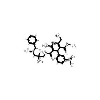 CCC1=C(C(=O)OC)C(c2cccc([N+](=O)[O-])c2)C(C(=O)OCC(C)(C)CN(C)Cc2ccccc2)=C(C)N1